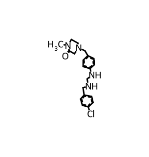 CN1CCN(Cc2ccc(NCNCc3ccc(Cl)cc3)cc2)CC1=O